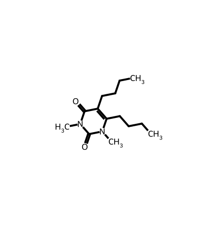 CCCCc1c(CCCC)n(C)c(=O)n(C)c1=O